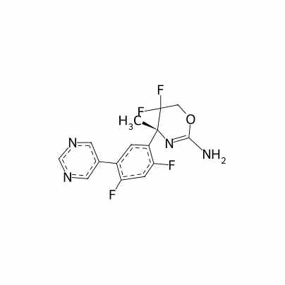 C[C@]1(c2cc(-c3cncnc3)c(F)cc2F)N=C(N)OCC1(F)F